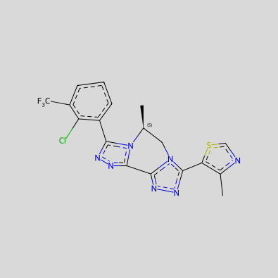 Cc1ncsc1-c1nnc2n1C[C@H](C)n1c(-c3cccc(C(F)(F)F)c3Cl)nnc1-2